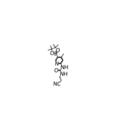 Cc1cc(NC(=O)NCCC#N)ncc1B1OC(C)(C)C(C)(C)O1